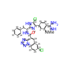 CNc1cc(-c2nc([C@H](Cc3ccccc3)NC(=O)/C=C/c3cc(Cl)ccc3-n3cnnn3)[nH]c2Cl)ccc1C(=N)N